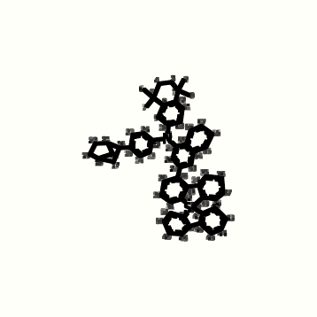 CC1(C)CCC(C)(C)c2cc(N(c3ccc(C4CC5CCC4C5)cc3)c3cc(-c4cccc5c4-c4ccccc4[Si]54c5ccccc5-c5ccccc54)cc4ccccc34)ccc21